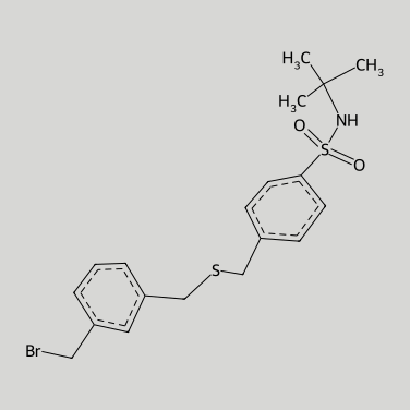 CC(C)(C)NS(=O)(=O)c1ccc(CSCc2cccc(CBr)c2)cc1